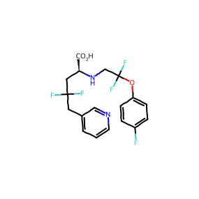 O=C(O)[C@H](CC(F)(F)Cc1cccnc1)NCC(F)(F)Oc1ccc(F)cc1